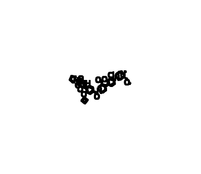 COC[C@H]1CN(c2ccc3c4c(c(=O)oc3c2Cl)CN(C(=O)c2ccc(C(=O)NS(=O)(=O)N3CCCC3)c(OC3CCC3)c2)CC4)CCN1C